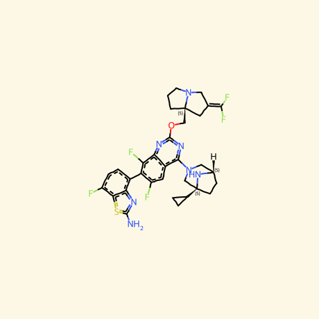 Nc1nc2c(-c3c(F)cc4c(N5C[C@@H]6CC[C@](C7CC7)(C5)N6)nc(OC[C@@]56CCCN5CC(=C(F)F)C6)nc4c3F)ccc(F)c2s1